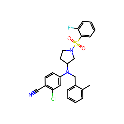 Cc1ccccc1CN(c1ccc(C#N)c(Cl)c1)C1CCN(S(=O)(=O)c2ccccc2F)C1